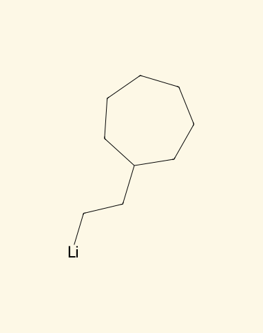 [Li][CH2]CC1CCCCCC1